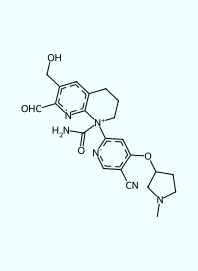 CN1CCC(Oc2cc([N+]3(C(N)=O)CCCc4cc(CO)c(C=O)nc43)ncc2C#N)C1